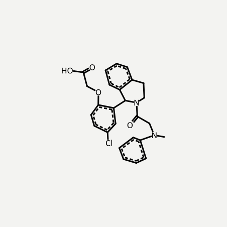 CN(CC(=O)N1CCc2ccccc2C1c1cc(Cl)ccc1OCC(=O)O)c1ccccc1